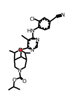 Cc1c(Nc2ccc(C#N)cc2Cl)ncnc1OC1C2CN(C(=O)OC(C)C)CC1C(C)OC2C